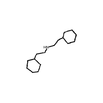 C1CCC(CCNCCC2CCCCC2)CC1